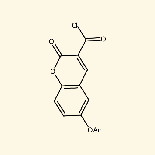 CC(=O)Oc1ccc2oc(=O)c(C(=O)Cl)cc2c1